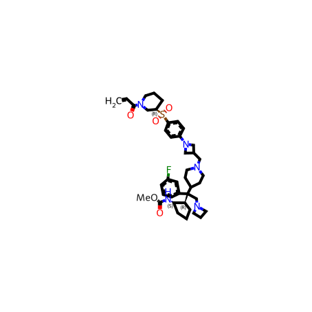 C=CC(=O)N1CCC[C@@H](S(=O)(=O)c2ccc(N3CC(CN4CCC(C(CN5CCC5)(c5cccc(F)c5)[C@H]5CCC[C@@H]5NC(=O)OC)CC4)C3)cc2)C1